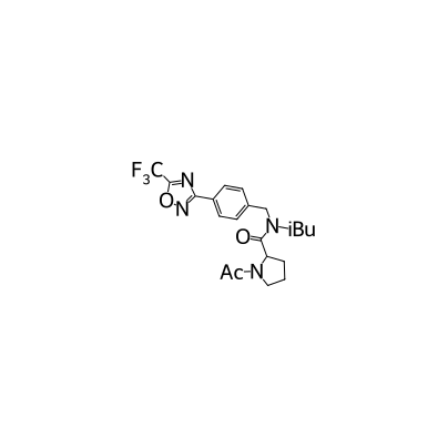 CCC(C)N(Cc1ccc(-c2noc(C(F)(F)F)n2)cc1)C(=O)C1CCCN1C(C)=O